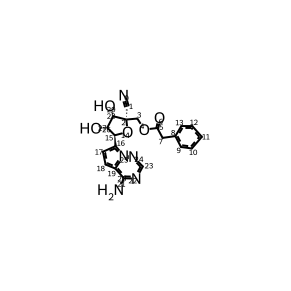 N#C[C@]1(COC(=O)Cc2ccccc2)O[C@@H](c2ccc3c(N)ncnn23)[C@H](O)[C@@H]1O